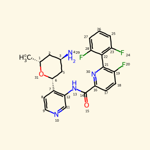 C[C@@H]1C[C@@H](N)C[C@H](c2ccncc2NC(=O)c2ccc(F)c(-c3c(F)cccc3F)n2)O1